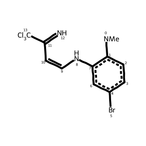 CNc1ccc(Br)cc1N/C=C\C(=N)C(Cl)(Cl)Cl